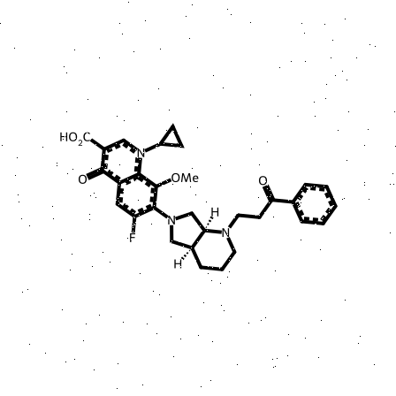 COc1c(N2C[C@@H]3CCCN(CCC(=O)c4ccccc4)[C@@H]3C2)c(F)cc2c(=O)c(C(=O)O)cn(C3CC3)c12